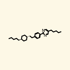 CCCCCc1cnc(-c2ccc(CC[C@H]3CC[C@H](CCCCC)CC3)cc2)nc1